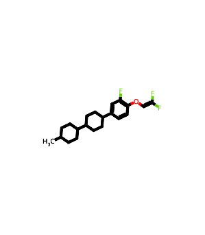 CC1CCC(C2CCC(c3ccc(OC=C(F)F)c(F)c3)CC2)CC1